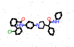 O=C(Nc1ccc(N2CCC(C(C(=O)Nc3ccccc3)c3ccccc3)CC2)cc1)c1ccccc1-c1ccccc1Cl